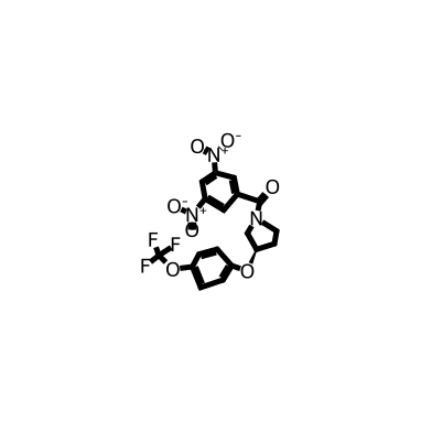 O=C(c1cc([N+](=O)[O-])cc([N+](=O)[O-])c1)N1CC[C@@H](Oc2ccc(OC(F)(F)F)cc2)C1